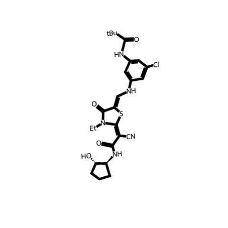 CCn1c(=C(C#N)C(=O)N[C@H]2CCC[C@@H]2O)sc(=CNc2cc(Cl)cc(NC(=O)C(C)(C)C)c2)c1=O